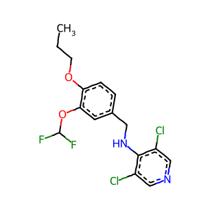 CCCOc1ccc(CNc2c(Cl)cncc2Cl)cc1OC(F)F